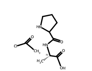 CC(=O)Cl.C[C@H](NC(=O)C1CCCN1)C(=O)O